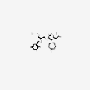 Nc1sc(-c2cc(F)ccc2F)nc1C(=O)Nc1cnn(CC(F)F)c1N1CCC[C@@H](O)CC1